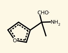 CC(N)([C]=O)c1ccoc1